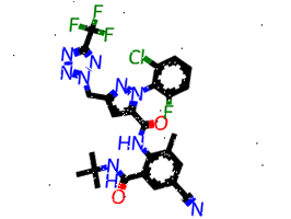 Cc1cc(C#N)cc(C(=O)NC(C)(C)C)c1NC(=O)c1cc(Cn2nnc(C(F)(F)F)n2)nn1-c1c(F)cccc1Cl